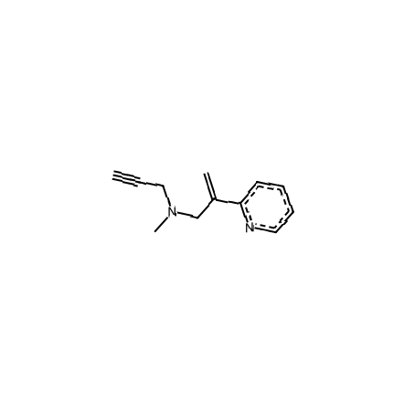 C#CCN(C)CC(=C)c1ccccn1